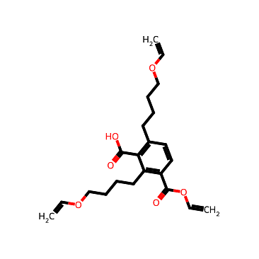 C=COCCCCc1ccc(C(=O)OC=C)c(CCCCOC=C)c1C(=O)O